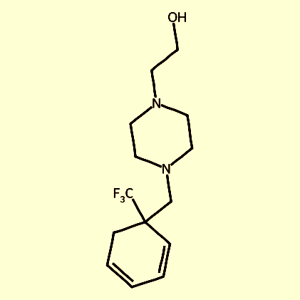 OCCN1CCN(CC2(C(F)(F)F)C=CC=CC2)CC1